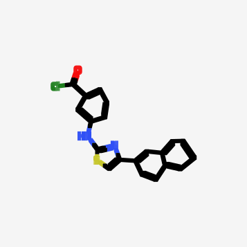 O=C(Cl)c1cccc(Nc2nc(-c3ccc4ccccc4c3)cs2)c1